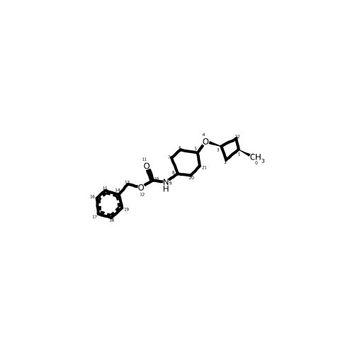 C[C@H]1C[C@@H](OC2CCC(NC(=O)OCc3ccccc3)CC2)C1